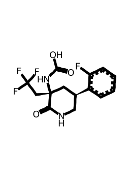 O=C(O)N[C@]1(CC(F)(F)F)C[C@@H](c2ccccc2F)CNC1=O